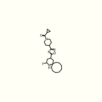 O=C(C1CC1)N1CCC(c2noc(C3CC(F)NC4(CCCCCCCC4)C3)n2)CC1